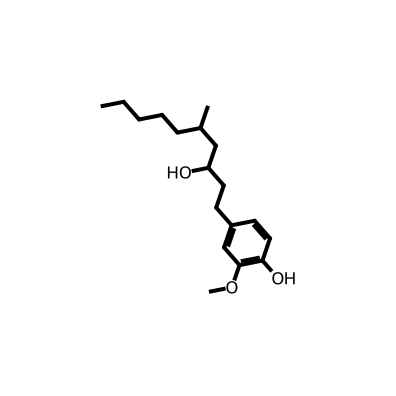 CCCCCC(C)CC(O)CCc1ccc(O)c(OC)c1